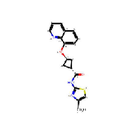 CCOC(=O)c1csc(NC(=O)[C@H]2C[C@H](Oc3cccc4cccnc34)C2)n1